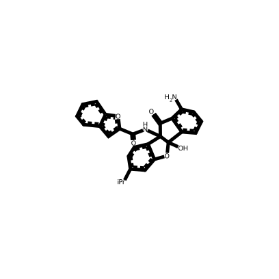 CC(C)c1ccc2c(c1)OC1(O)c3cccc(N)c3C(=O)C21NC(=O)c1cc2ccccc2o1